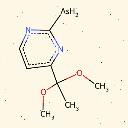 COC(C)(OC)c1ccnc([AsH2])n1